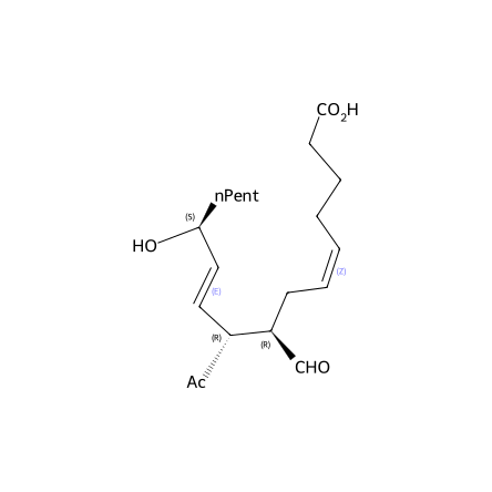 CCCCC[C@H](O)/C=C/[C@@H](C(C)=O)[C@H](C=O)C/C=C\CCCC(=O)O